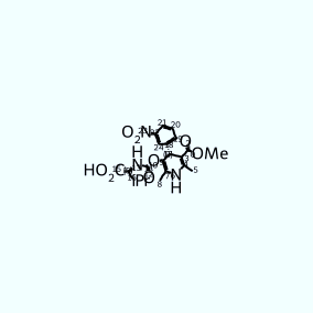 COC(=O)C1=C(C)NC(C)=C(OC(=O)N[C@H](C(=O)O)C(C)C)[C@@H]1c1cccc([N+](=O)[O-])c1